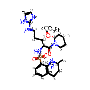 CCOC(=O)O[C@@H]1C[C@H](C)CCN1C(=O)[C@H](CCCNc1ncc[nH]1)NS(=O)(=O)c1cccc2c1NC(C)CC2